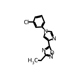 CCc1noc(-c2cn(-c3cccc(Cl)c3)cn2)n1